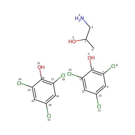 CC(O)CN.Oc1c(Cl)cc(Cl)cc1Cl.Oc1c(Cl)cc(Cl)cc1Cl